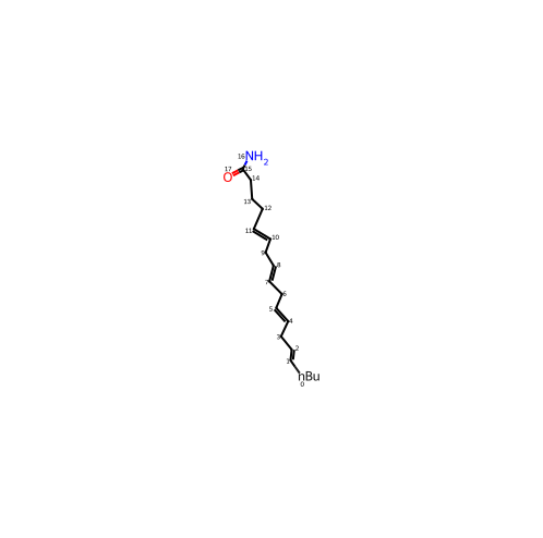 CCCCC=CCC=CCC=CCC=CCCCC(N)=O